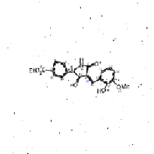 CCOC(=O)c1ccc(N2NC(=O)/C(=C\c3cccc(OC)c3O)C2=O)cc1